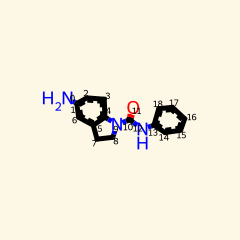 Nc1ccc2c(c1)CCN2C(=O)Nc1ccccc1